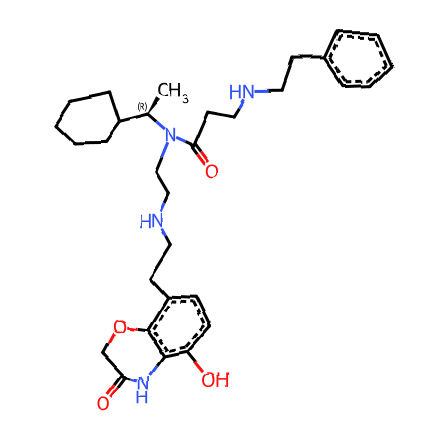 C[C@H](C1CCCCC1)N(CCNCCc1ccc(O)c2c1OCC(=O)N2)C(=O)CCNCCc1ccccc1